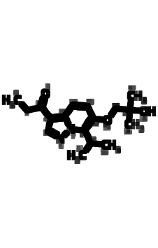 CCC(=O)c1cnn2c(C(C)C)c(OCC(C)(C)O)ccc12